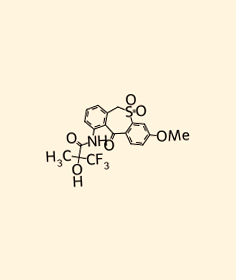 COc1ccc2c(c1)S(=O)(=O)Cc1cccc(NC(=O)C(C)(O)C(F)(F)F)c1C2=O